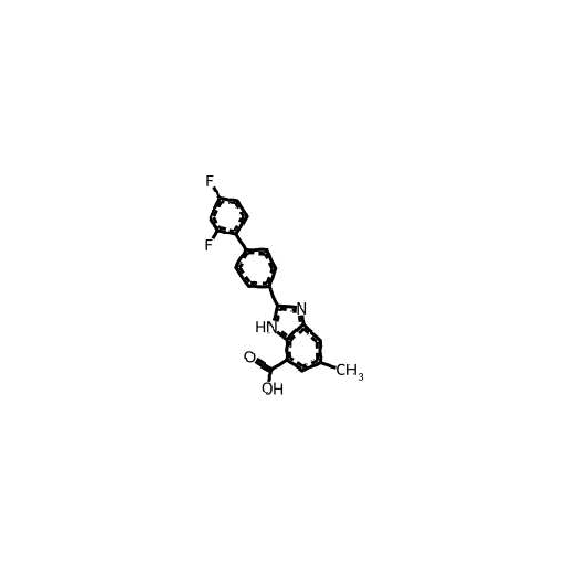 Cc1cc(C(=O)O)c2[nH]c(-c3ccc(-c4ccc(F)cc4F)cc3)nc2c1